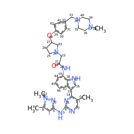 Cc1cnc(Nc2cc(C)n(C)n2)nc1-c1c[nH]c2c(NC(=O)CN3CCC(Oc4ccc(CN5CCN(C)CC5)cc4)C3)cccc12